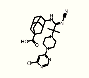 CC(C)(/C(=N/C#N)NC1C2CC3CC1CC(C(=O)O)(C3)C2)N1CCN(c2cc(Cl)ncn2)CC1